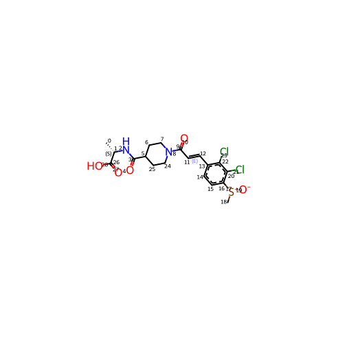 C[C@H](NC(=O)C1CCN(C(=O)/C=C/c2ccc([S+](C)[O-])c(Cl)c2Cl)CC1)C(=O)O